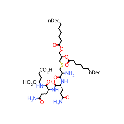 CCCCCCCCCCCCCCCC(=O)OC[C@H](CSCC(N)C(=O)N[C@H](CCC(N)=O)C(=O)N[C@@H](CCC(N)=O)C(=O)N[C@@H](CCC(=O)O)C(=O)O)OC(=O)CCCCCCCCCCCCCCC